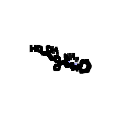 N/C(=C\C=C\N1CCCCC1)C(=O)OCC(O)CO